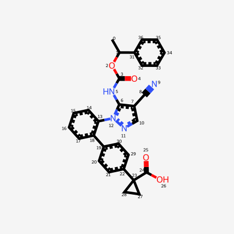 CC(OC(=O)Nc1c(C#N)cnn1-c1ccccc1-c1ccc(C2(C(=O)O)CC2)cc1)c1ccccc1